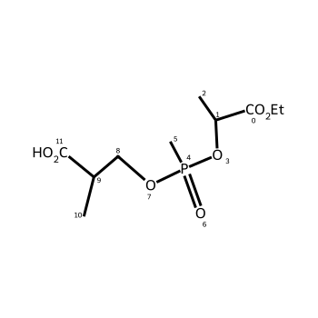 CCOC(=O)C(C)OP(C)(=O)OCC(C)C(=O)O